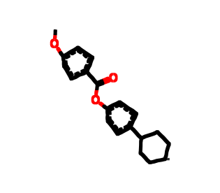 COc1ccc(C(=O)Oc2ccc(C3CC[CH]CC3)cc2)cc1